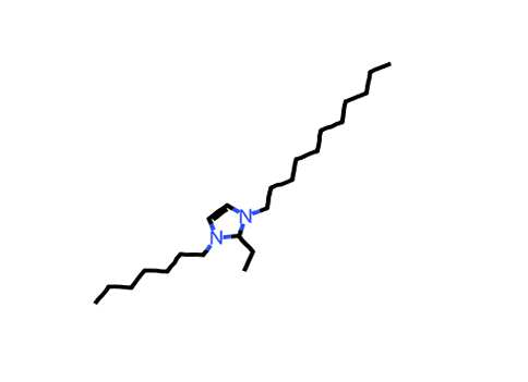 CCCCCCCCCCCN1C=CN(CCCCCCC)C1CC